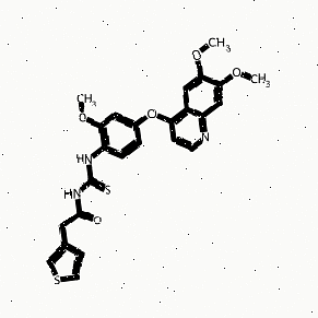 COc1cc(Oc2ccnc3cc(OC)c(OC)cc23)ccc1NC(=S)NC(=O)Cc1ccsc1